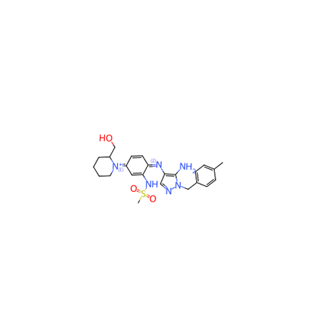 Cc1ccc(Cn2ncc(/N=C3C=C/C(=[N+]4/CCCCC4CO)C=C/3NS(C)(=O)=O)c2N)cc1